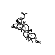 C=C(C)C[C@@H]1CC[C@]2(COC(C)=O)CC[C@]3(C)[C@H](CC[C@@H]4[C@@]5(C)CC[C@H](OC(C)=O)C(C)(C)[C@@H]5CC[C@]43C)[C@@H]12